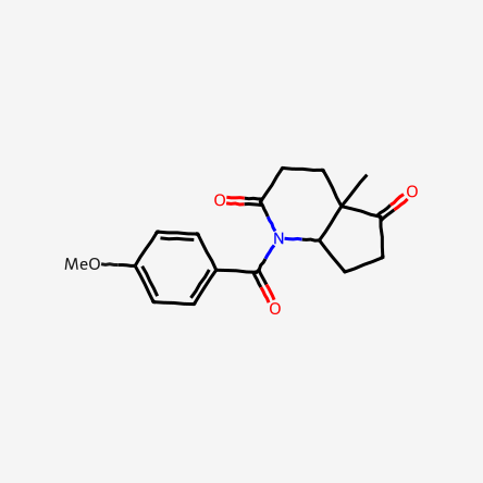 COc1ccc(C(=O)N2C(=O)CCC3(C)C(=O)CCC23)cc1